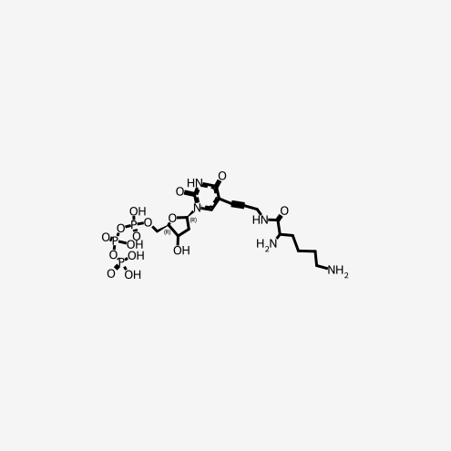 NCCCCC(N)C(=O)NCC#Cc1cn([C@H]2CC(O)[C@@H](COP(=O)(O)OP(=O)(O)OP(=O)(O)O)O2)c(=O)[nH]c1=O